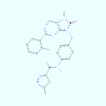 Cc1cc(C(=O)N(C)c2ccc(Cn3c(=O)n(C)c4cnc(-c5ccccc5C(C)C)nc43)cc2)n[nH]1